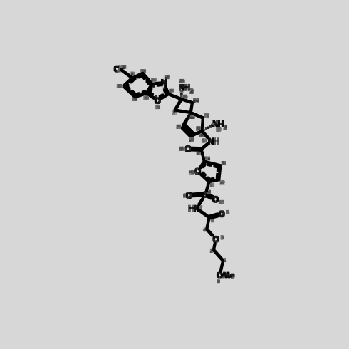 COCCOCC(=O)NS(=O)(=O)c1ccc(C(=O)N[C@@]2(N)C#C[C@]3(C2)C[C@](N)(c2nc4cc(Cl)ccc4o2)C3)o1